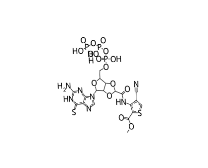 COC(=O)c1scc(C#N)c1NC(=O)C1OC2C(COP(=O)(O)OP(=O)(O)OP(=O)(O)O)OC(n3cnc4c(=S)[nH]c(N)nc43)C2O1